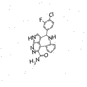 NC(=O)c1nnc2[nH]cc3c2c1-c1ccccc1NC3c1ccc(Cl)c(F)c1